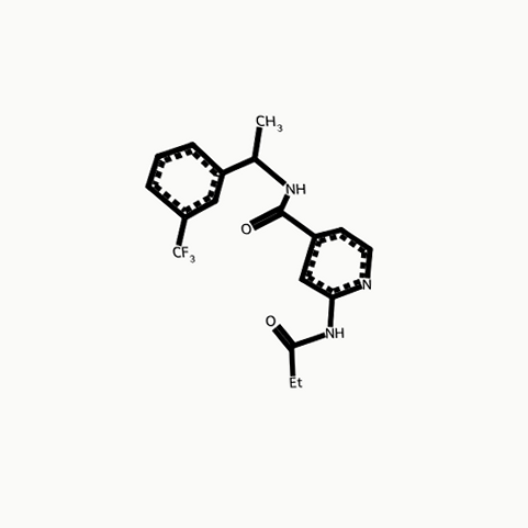 CCC(=O)Nc1cc(C(=O)NC(C)c2cccc(C(F)(F)F)c2)ccn1